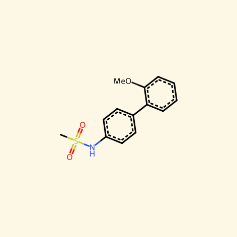 COc1ccccc1-c1ccc(NS(C)(=O)=O)cc1